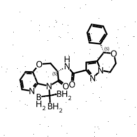 BC(B)(B)N1C(=O)[C@@H](NC(=O)c2cc3n(n2)CCO[C@H]3c2ccccc2)COc2cccnc21